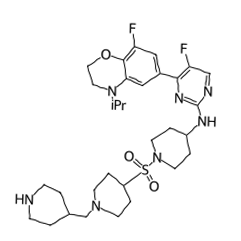 CC(C)N1CCOc2c(F)cc(-c3nc(NC4CCN(S(=O)(=O)C5CCN(CC6CCNCC6)CC5)CC4)ncc3F)cc21